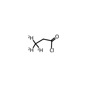 [2H]C([2H])([2H])CC(=O)Cl